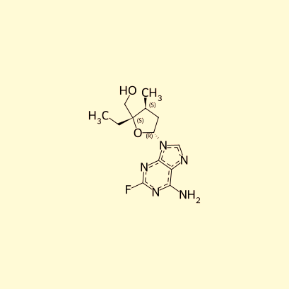 CC[C@]1(CO)O[C@@H](n2cnc3c(N)nc(F)nc32)C[C@@H]1C